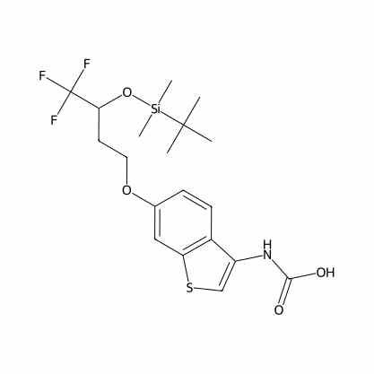 CC(C)(C)[Si](C)(C)OC(CCOc1ccc2c(NC(=O)O)csc2c1)C(F)(F)F